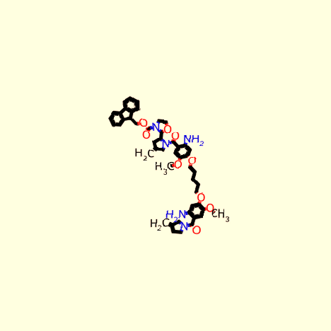 C=C1CCN(C(=O)c2cc(OC)c(OCCCCCOc3cc(N)c(C(=O)N4CC(=C)CC4C4OCCN4C(=O)OCC4c5ccccc5-c5ccccc54)cc3OC)cc2N)C1